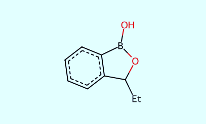 CCC1OB(O)c2ccccc21